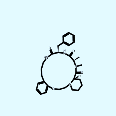 C[C@@H]1C(=O)N[C@H](Cc2ccccc2)C(=O)NCCCc2ccccc2OCCN2CCCC[C@H]2C(=O)N1C